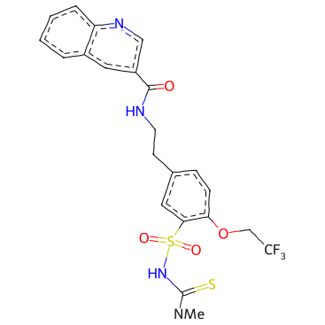 CNC(=S)NS(=O)(=O)c1cc(CCNC(=O)c2cnc3ccccc3c2)ccc1OCC(F)(F)F